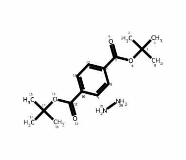 CC(C)(C)OC(=O)c1ccc(C(=O)OC(C)(C)C)cc1.NN